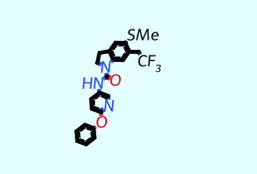 CSc1cc2c(cc1CC(F)(F)F)N(C(=O)Nc1ccc(Oc3ccccc3)nc1)CC2